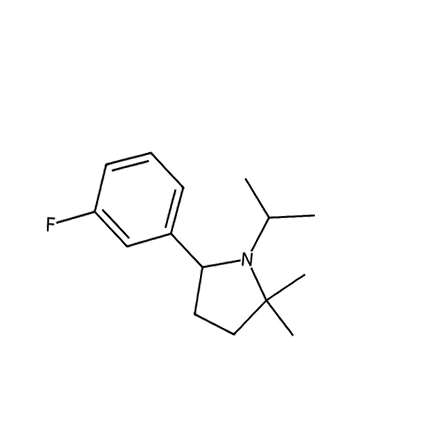 CC(C)N1C(c2cccc(F)c2)CCC1(C)C